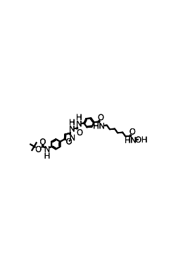 CC(C)(C)OC(=O)Nc1ccc(-c2cc(NC(=O)Nc3ccc(C(=O)NCCCCCCC(=O)NO)cc3)no2)cc1